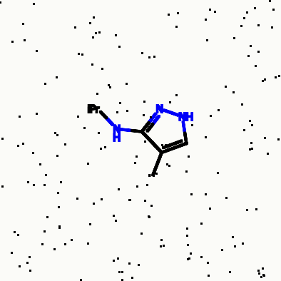 [CH2]c1c[nH]nc1NC(C)C